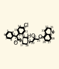 O=C(C(c1ccccc1)c1ccc(Cl)cc1)N1CCN(CC(O)COc2cccc3ncccc23)CC1